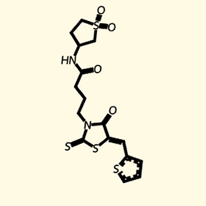 O=C(CCCN1C(=O)/C(=C/c2cccs2)SC1=S)NC1CCS(=O)(=O)C1